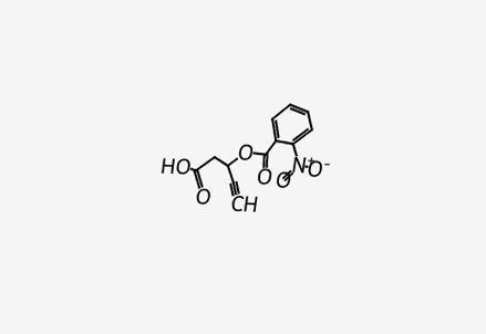 C#CC(CC(=O)O)OC(=O)c1ccccc1[N+](=O)[O-]